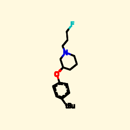 CC(C)(C)c1ccc(O[C@@H]2CCCN(CCCF)C2)cc1